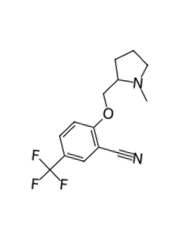 CN1CCCC1COc1ccc(C(F)(F)F)cc1C#N